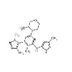 Cc1cc(Nc2nc(N3CCOCC3C)cc(-c3c(C)nnn3C)c2C)[nH]n1